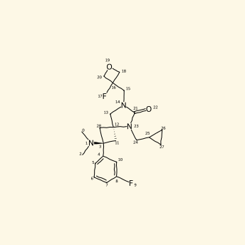 CN(C)[C@]1(c2cccc(F)c2)C[C@@]2(CN(CC3(F)COC3)C(=O)N2CC2CC2)C1